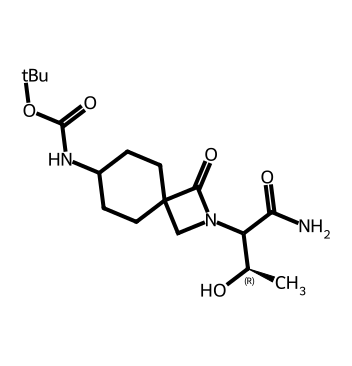 C[C@@H](O)C(C(N)=O)N1CC2(CCC(NC(=O)OC(C)(C)C)CC2)C1=O